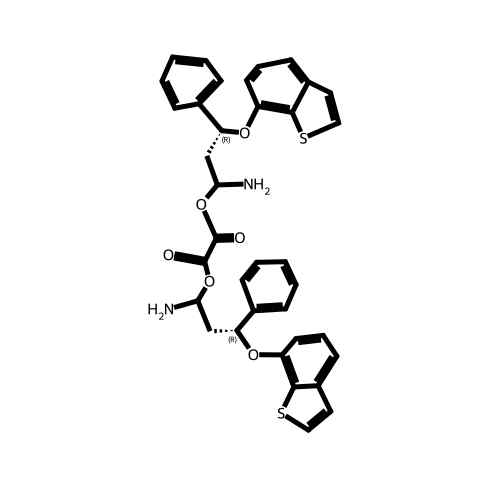 NC(C[C@@H](Oc1cccc2ccsc12)c1ccccc1)OC(=O)C(=O)OC(N)C[C@@H](Oc1cccc2ccsc12)c1ccccc1